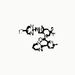 Cc1ccc(-c2ncccn2)c(C(=O)N2CC(F)(F)CC(C)C2CNc2ncc(Cl)cn2)n1